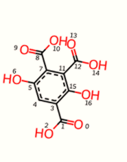 O=C(O)c1cc(O)c(C(=O)O)c(C(=O)O)c1O